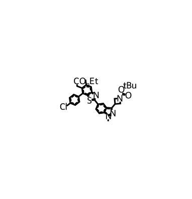 CCOC(=O)Cc1c(C)cc2nc(-c3ccc4c(c3)c(C3CN(C(=O)OC(C)(C)C)C3)nn4C)sc2c1-c1ccc(Cl)cc1